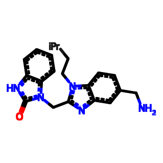 CC(C)CCn1c(Cn2c(=O)[nH]c3ccccc32)nc2cc(CN)ccc21